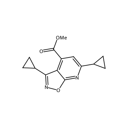 COC(=O)c1cc(C2CC2)nc2onc(C3CC3)c12